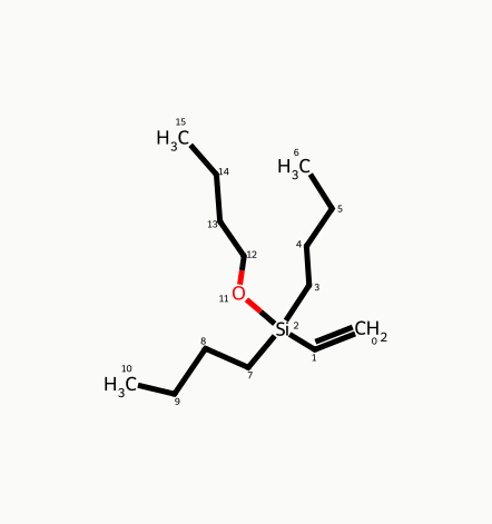 C=C[Si](CCCC)(CCCC)OCCCC